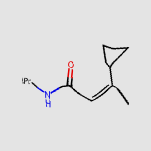 C/C(=C/C(=O)NC(C)C)C1CC1